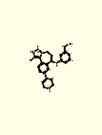 CC1=C2c3ccc(C4=CCNCC4)cc3C(Nc3cccc(CO)c3)CCN2NN1